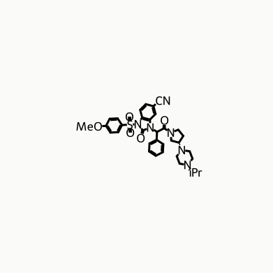 COc1ccc(S(=O)(=O)n2c(=O)n(C(C(=O)N3CC[C@H](N4CCN(C(C)C)CC4)C3)c3ccccc3)c3cc(C#N)ccc32)cc1